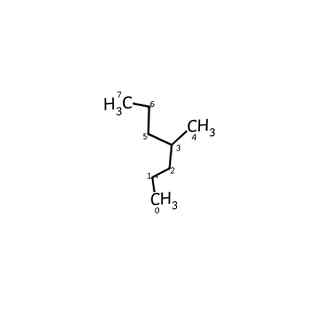 C[CH]CC(C)CCC